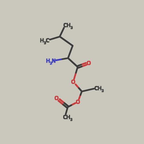 CC(=O)OC(C)OC(=O)C(N)CC(C)C